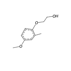 COc1ccc(OCCO)c(C)c1